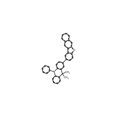 CC1(C)c2ccccc2N(c2ccccc2)c2ccc(-c3ccc4oc5cc6ccccc6cc5c4c3)cc21